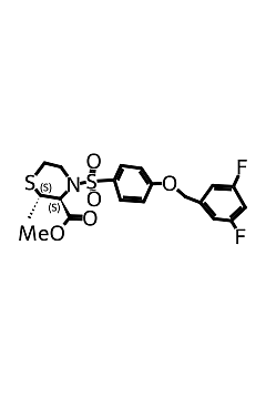 COC(=O)[C@H]1[C@H](C)SCCN1S(=O)(=O)c1ccc(OCc2cc(F)cc(F)c2)cc1